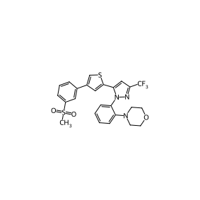 CS(=O)(=O)c1cccc(-c2csc(-c3cc(C(F)(F)F)nn3-c3ccccc3N3CCOCC3)c2)c1